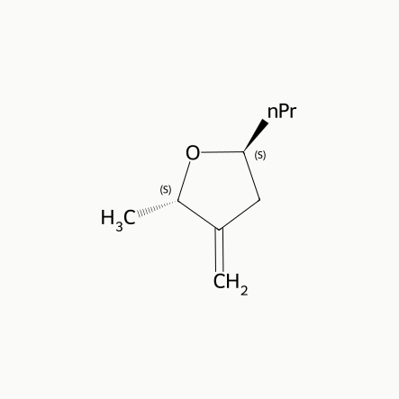 C=C1C[C@H](CCC)O[C@H]1C